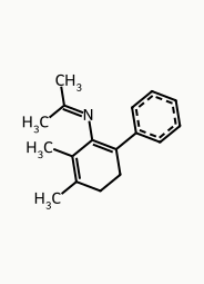 CC(C)=NC1=C(c2ccccc2)CCC(C)=C1C